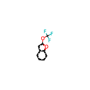 FC(F)(F)Oc1cc2ccccc2o1